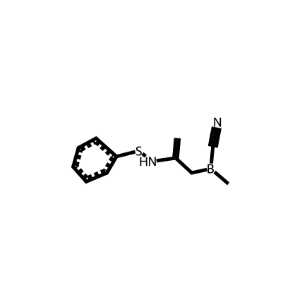 C=C(CB(C)C#N)NSc1ccccc1